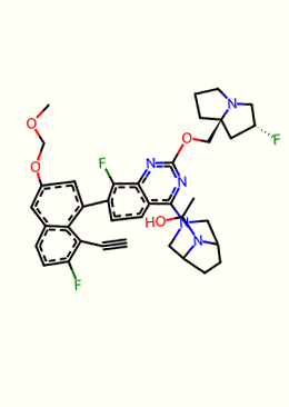 C#Cc1c(F)ccc2cc(OCOC)cc(-c3ccc4c(N5CC6CCC(C5)N6C(C)O)nc(OC[C@@]56CCCN5C[C@H](F)C6)nc4c3F)c12